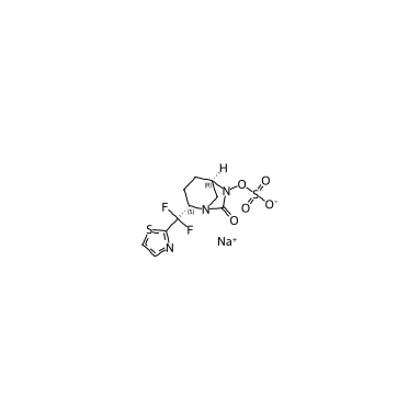 O=C1N2C[C@@H](CC[C@H]2C(F)(F)c2nccs2)N1OS(=O)(=O)[O-].[Na+]